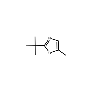 Cc1[c]nc(C(C)(C)C)o1